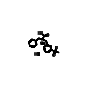 CS(=O)(=O)c1cccc(C[C@@](N)(Cc2ccccc2)C(=O)O)c1.Cl